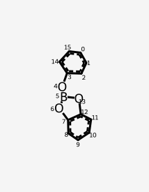 c1ccc(OB2Oc3ccccc3O2)cc1